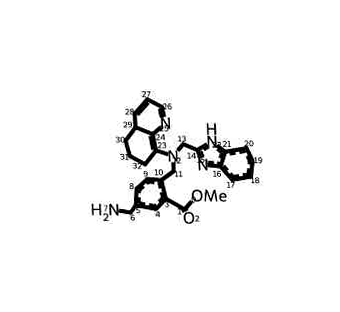 COC(=O)c1cc(CN)ccc1CN(Cc1nc2ccccc2[nH]1)C1=C2N=CC=CC2CCC1